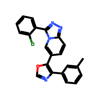 Cc1cccc(-c2ncoc2-c2ccc3nnc(-c4ccccc4Cl)n3c2)c1